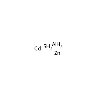 S.[AlH3].[Cd].[Zn]